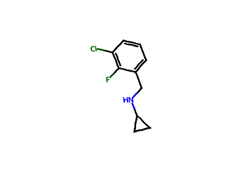 Fc1c(Cl)cccc1CNC1CC1